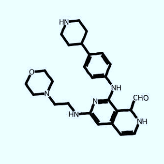 O=CC1NC=Cc2cc(NCCN3CCOCC3)nc(Nc3ccc(C4CCNCC4)cc3)c21